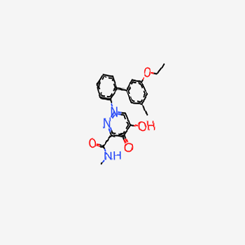 CCOc1cc(C)cc(-c2ccccc2-n2cc(O)c(=O)c(C(=O)NC)n2)c1